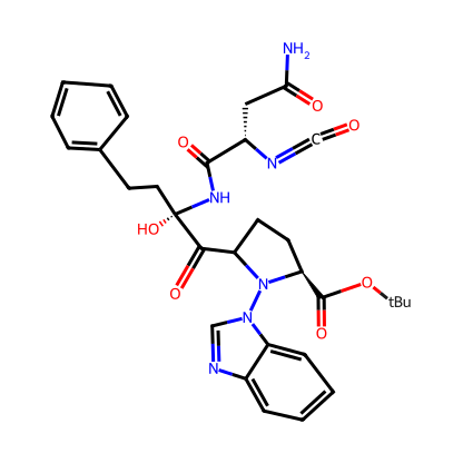 CC(C)(C)OC(=O)[C@@H]1CCC(C(=O)[C@@](O)(CCc2ccccc2)NC(=O)[C@H](CC(N)=O)N=C=O)N1n1cnc2ccccc21